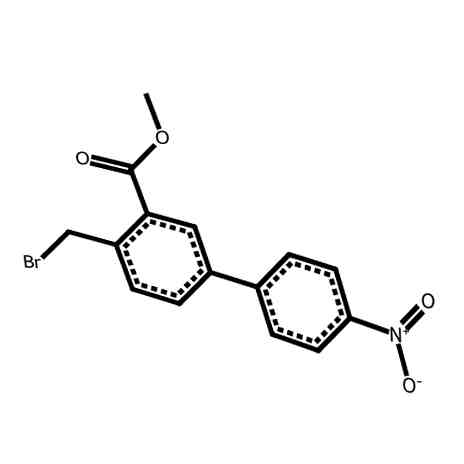 COC(=O)c1cc(-c2ccc([N+](=O)[O-])cc2)ccc1CBr